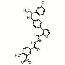 CC(Nc1ccc(-c2ccoc2C(=O)NNC(=O)c2ccc(O)c([N+](=O)[O-])c2)cc1)c1cccc(Cl)c1